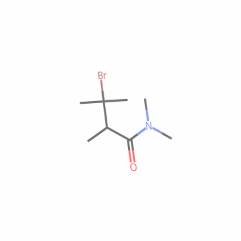 CC(C(=O)N(C)C)C(C)(C)Br